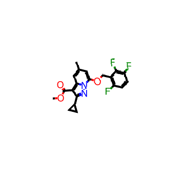 COC(=O)c1c(C2CC2)nn2c(OCc3c(F)ccc(F)c3F)cc(C)cc12